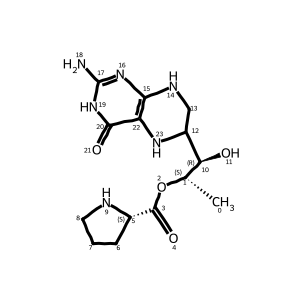 C[C@H](OC(=O)[C@@H]1CCCN1)[C@H](O)C1CNc2nc(N)[nH]c(=O)c2N1